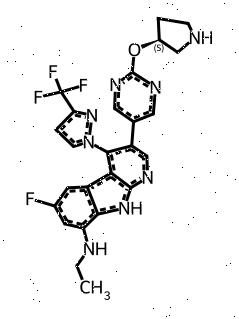 CCNc1cc(F)cc2c1[nH]c1ncc(-c3cnc(O[C@H]4CCNC4)nc3)c(-n3ccc(C(F)(F)F)n3)c12